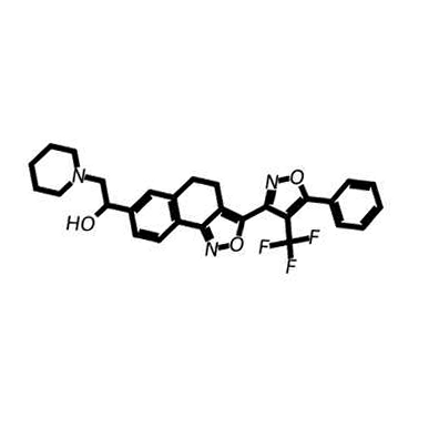 OC(CN1CCCCC1)c1ccc2c(c1)CCc1c-2noc1-c1noc(-c2ccccc2)c1C(F)(F)F